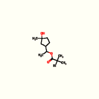 CCC(C)(C)C(=O)OC(C)C1CCC(C)(O)C1